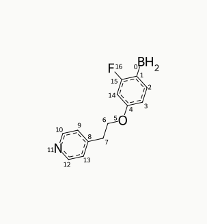 Bc1ccc(OCCc2ccncc2)cc1F